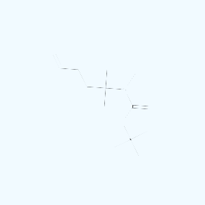 CN(C(=O)OC(C)(C)C)C(C)(C)CCC=O